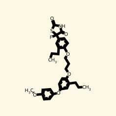 CCCc1cc(Oc2ccc(OC)cc2)ccc1OCCCOc1ccc(C2(F)SC(=O)NC2=O)cc1CCC